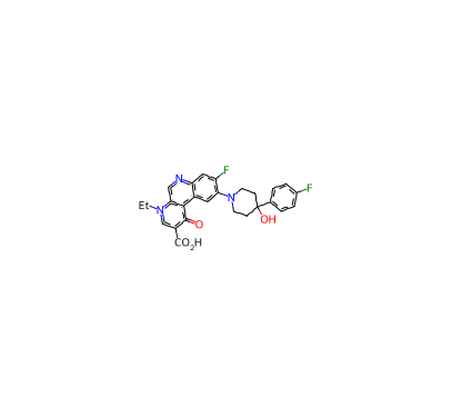 CCn1cc(C(=O)O)c(=O)c2c3cc(N4CCC(O)(c5ccc(F)cc5)CC4)c(F)cc3ncc21